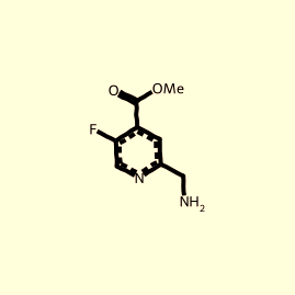 COC(=O)c1cc(CN)ncc1F